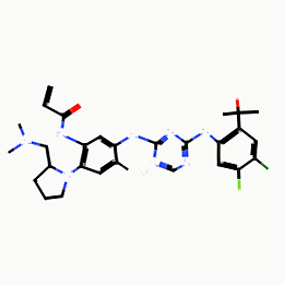 C=CC(=O)Nc1cc(Nc2ncnc(Nc3cc(F)c(Cl)cc3C(C)(C)O)n2)c(OC)cc1N1CCCC1CN(C)C